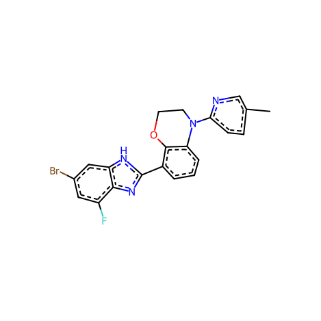 Cc1ccc(N2CCOc3c(-c4nc5c(F)cc(Br)cc5[nH]4)cccc32)nc1